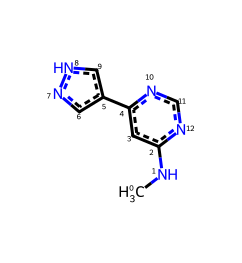 CNc1cc(-c2cn[nH]c2)ncn1